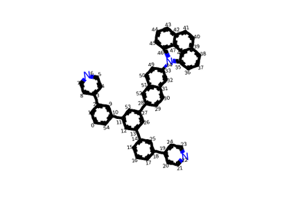 c1cc(-c2ccncc2)cc(-c2cc(-c3cccc(-c4ccncc4)c3)cc(-c3ccc4cc(-n5c6cccc7ccc8cccc5c8c76)ccc4c3)c2)c1